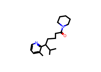 Cc1cccnc1C(CCCC(=O)N1CCCCC1)C(C)C